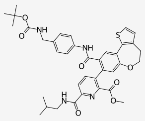 COC(=O)c1nc(C(=O)NCC(C)C)ccc1-c1cc2c(cc1C(=O)Nc1ccc(CNC(=O)OC(C)(C)C)cc1)-c1sccc1CCO2